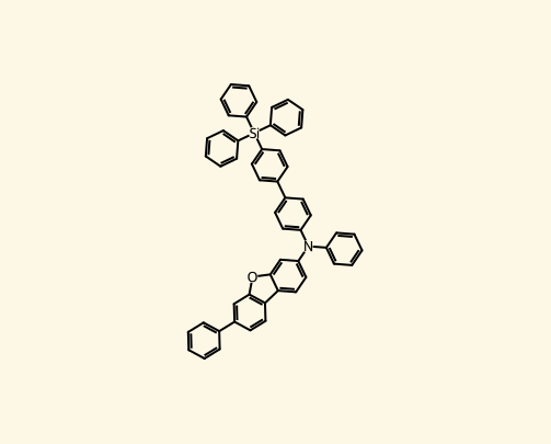 c1ccc(-c2ccc3c(c2)oc2cc(N(c4ccccc4)c4ccc(-c5ccc([Si](c6ccccc6)(c6ccccc6)c6ccccc6)cc5)cc4)ccc23)cc1